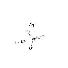 O=[N+]([O-])[O-].[Ag+].[H-].[K+]